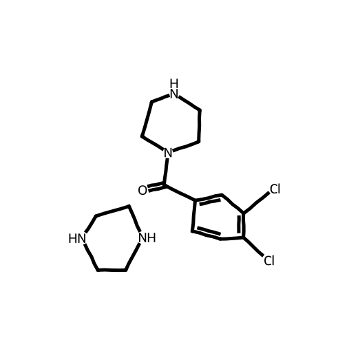 C1CNCCN1.O=C(c1ccc(Cl)c(Cl)c1)N1CCNCC1